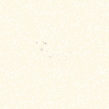 COc1cc(OC)c(Cl)c(-c2cc3cnc(SC)nc3c(CC3CC3)n2)c1C